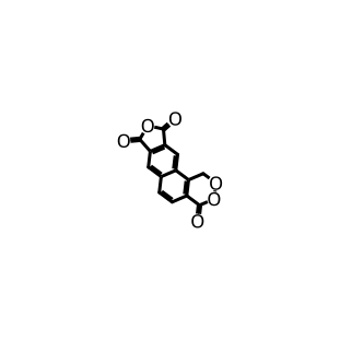 O=C1OC(=O)c2cc3c4c(ccc3cc21)C(=O)OOC4